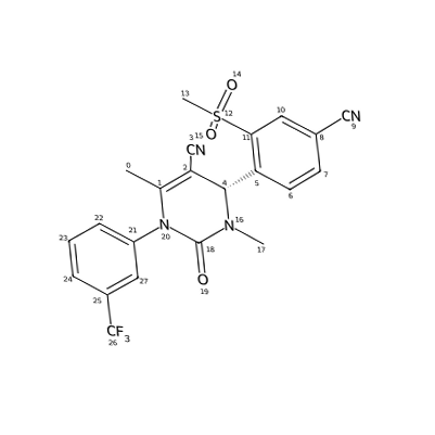 CC1=C(C#N)[C@H](c2ccc(C#N)cc2S(C)(=O)=O)N(C)C(=O)N1c1cccc(C(F)(F)F)c1